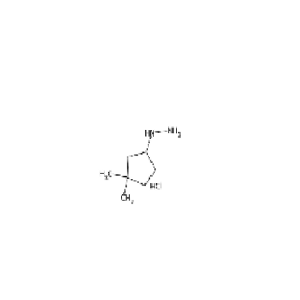 CC1(C)CCC(NN)C1.Cl